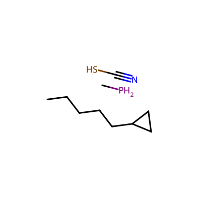 CCCCCC1CC1.CP.N#CS